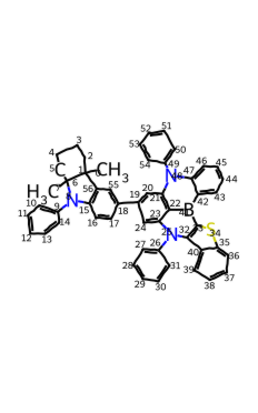 CC12CCCCC1(C)N(c1ccccc1)c1ccc(-c3cc4c5c(c3)N(c3ccccc3)c3c(sc6ccccc36)B5c3ccccc3N4c3ccccc3)cc12